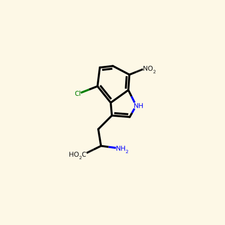 NC(Cc1c[nH]c2c([N+](=O)[O-])ccc(Cl)c12)C(=O)O